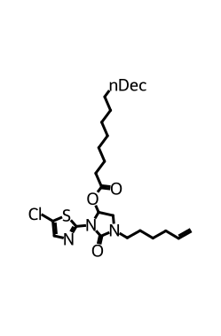 C=CCCCCN1CC(OC(=O)CCCCCCCCCCCCCCCCC)N(c2ncc(Cl)s2)C1=O